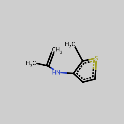 C=C(C)Nc1ccsc1C